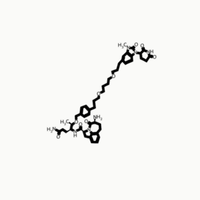 C[C@@H](OCc1ccc(CCCOCCCCOCCCc2ccc3c(c2)n(C)c(=O)n3C2CCC(=O)NC2=O)cc1)[C@H](CCC(N)=O)NC(=O)[C@@H]1Cc2cccc3c2N1C(=O)[C@@H](N)CC3